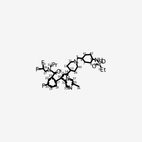 CCS(=O)(=O)NC1CCC(CN2CCC(c3cc(-c4ccc(F)cc4C(=O)N(CC(F)F)C(C)C)c4cnc(C)cn34)CC2)CC1